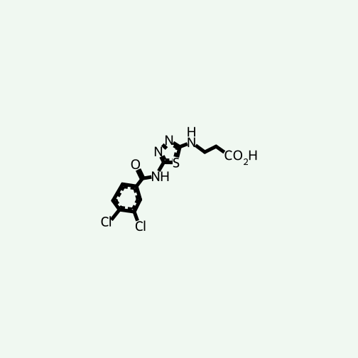 O=C(O)CCNc1nnc(NC(=O)c2ccc(Cl)c(Cl)c2)s1